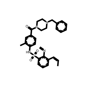 C=Nc1c(/C=C\C)cccc1S(=O)(=O)Nc1ccc(C(=O)N2CCN(Cc3ccccc3)CC2)cc1C